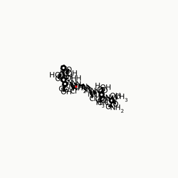 C=C(/N=C(\N=C(/N)Cl)Nc1cc(S(=O)(=O)O)cc2cc(S(=O)(=O)O)c(/N=N/c3ccccc3S(=O)(=O)O)c(O)c12)NCCN1CCN(c2nc(Cl)nc(Nc3cc(S(=O)(=O)O)c(/N=N/c4c(C)c(C(N)=O)c(=O)n(CC)c4O)cc3S(=O)(=O)O)n2)CC1